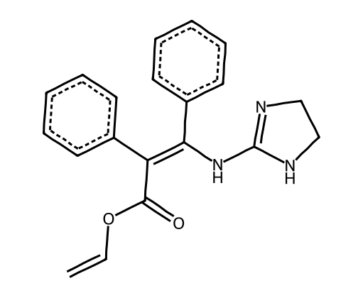 C=COC(=O)C(=C(NC1=NCCN1)c1ccccc1)c1ccccc1